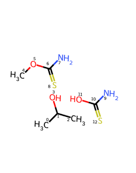 CC(C)O.COC(N)=S.NC(O)=S